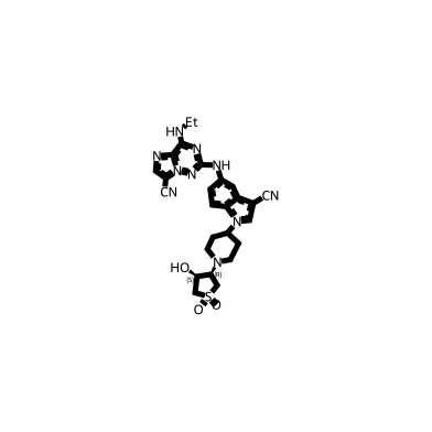 CCNc1nc(Nc2ccc3c(c2)c(C#N)cn3C2CCN([C@H]3CS(=O)(=O)C[C@H]3O)CC2)nn2c(C#N)cnc12